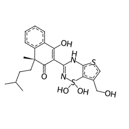 CC(C)CC[C@@]1(C)C(=O)C(C2=NS(O)(O)c3c(CO)csc3N2)=C(O)c2ccccc21